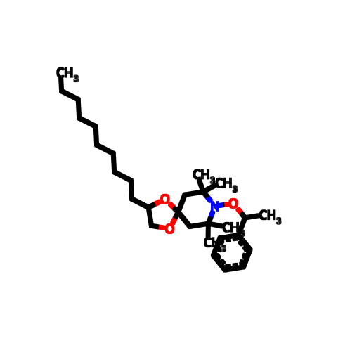 CCCCCCCCCCC1COC2(CC(C)(C)N(OC(C)c3ccccc3)C(C)(C)C2)O1